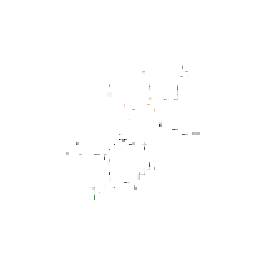 CCOP(=O)(OCC)C(OC)c1ccc(Cl)c(OC)c1